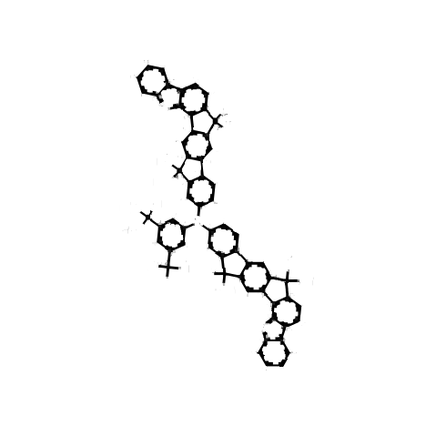 CC(C)(C)c1cc(N(c2ccc3c(c2)C(C)(C)c2cc4c(cc2-3)C(C)(C)c2ccc3c(oc5ccccc53)c2-4)c2ccc3c(c2)C(C)(C)c2cc4c(cc2-3)C(C)(C)c2ccc3c(oc5ccccc53)c2-4)cc(C(C)(C)C)c1